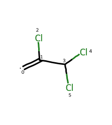 [CH]=C(Cl)C(Cl)Cl